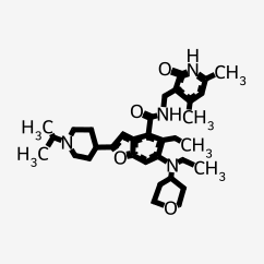 CCc1c(N(CC)C2CCOCC2)cc2oc(C3CCN(C(C)C)CC3)cc2c1C(=O)NCc1c(C)cc(C)[nH]c1=O